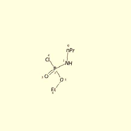 CCCNP(=O)(Cl)OCC